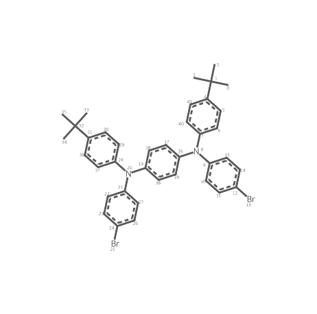 CC(C)(C)c1ccc(N(c2ccc(Br)cc2)c2ccc(N(c3ccc(Br)cc3)c3ccc(C(C)(C)C)cc3)cc2)cc1